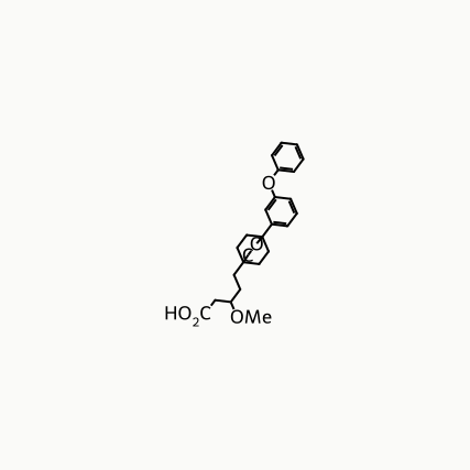 COC(CCC12CCC(c3cccc(Oc4ccccc4)c3)(CC1)OC2)CC(=O)O